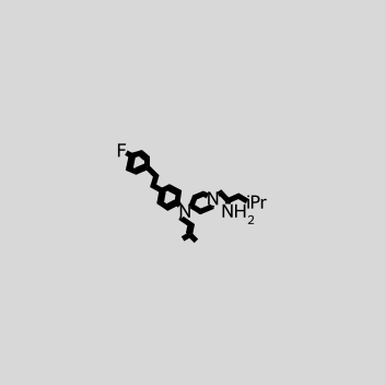 CC(C)=CCN(c1ccc(CCc2ccc(F)cc2)cc1)C1CCN(CC(N)CC(C)C)CC1